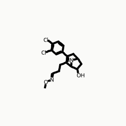 CON=CCCC1=C(c2ccc(Cl)c(Cl)c2)CC2CC(O)C1N2